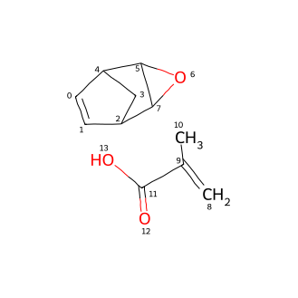 C1=CC2CC1C1OC21.C=C(C)C(=O)O